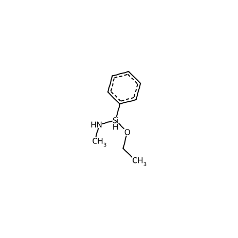 CCO[SiH](NC)c1ccccc1